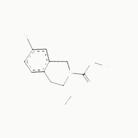 CC(C)(C)OC(=O)N1Cc2cc(N)ccc2C[C@H]1CO